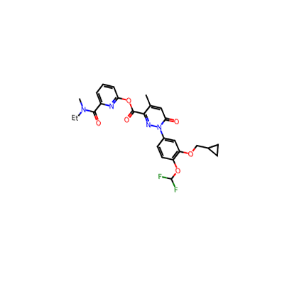 CCN(C)C(=O)c1cccc(OC(=O)c2nn(-c3ccc(OC(F)F)c(OCC4CC4)c3)c(=O)cc2C)n1